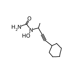 CC(C#CC1CCCCC1)N(O)C(N)=O